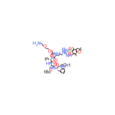 CCCCCCCCNC(=O)[C@H](Cc1ccccc1)NC(=O)[C@H](COC(C)(C)C)NC(=O)[C@@H](NC(=O)[C@H](CCCNC(=N)NS(=O)(=O)c1c(C)c(C)c2c(c1C)CC(C)(C)O2)NC(=O)COCCOCCN)C(C)C